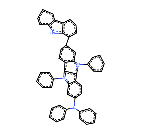 c1ccc(N(c2ccccc2)c2ccc3c(c2)n(-c2ccccc2)c2c4ccc(-c5cccc6c5[nH]c5ccccc56)cc4n(-c4ccccc4)c32)cc1